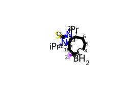 BC1(I)CCCCCc2c(n(C(C)C)c(=S)n2C(C)C)C1